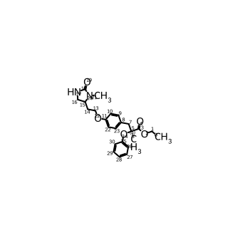 CCOC(=O)[C@](C)(Cc1ccc(OCCC2CNC(=O)N2C)cc1)Oc1ccccc1